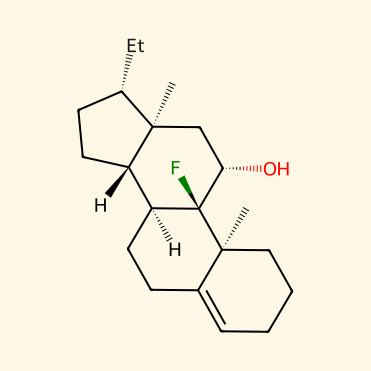 CC[C@H]1CC[C@H]2[C@@H]3CCC4=CCCC[C@]4(C)[C@@]3(F)[C@@H](O)C[C@]12C